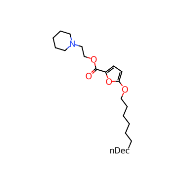 CCCCCCCCCCCCCCCCOc1ccc(C(=O)OCCN2CCCCC2)o1